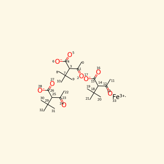 CC(=O)C(C(=O)[O-])C(C)(C)C.CC(=O)C(C(=O)[O-])C(C)(C)C.CC(=O)C(C(=O)[O-])C(C)(C)C.[Fe+3]